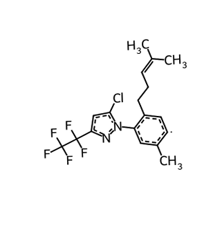 CC(C)=CCCc1c[c]c(C)cc1-n1nc(C(F)(F)C(F)(F)F)cc1Cl